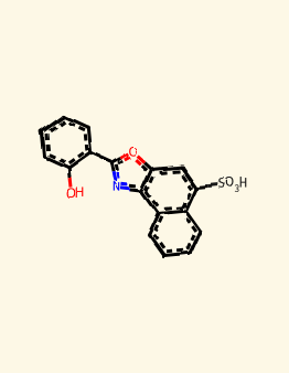 O=S(=O)(O)c1cc2oc(-c3ccccc3O)nc2c2ccccc12